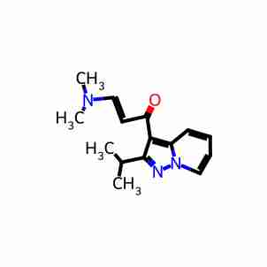 CC(C)c1nn2ccccc2c1C(=O)C=CN(C)C